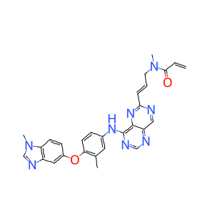 C=CC(=O)N(C)CC=Cc1ncc2ncnc(Nc3ccc(Oc4ccc5c(c4)ncn5C)c(C)c3)c2n1